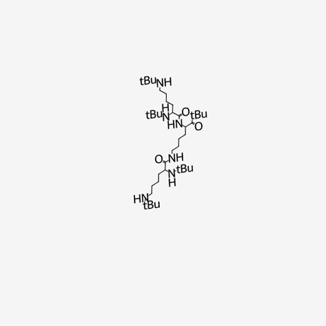 CC(C)(C)NCCCCC(NC(C)(C)C)C(=O)NCCCCC(NC(=O)C(CCCCNC(C)(C)C)NC(C)(C)C)C(=O)C(C)(C)C